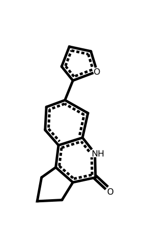 O=c1[nH]c2cc(-c3ccco3)ccc2c2c1CCC2